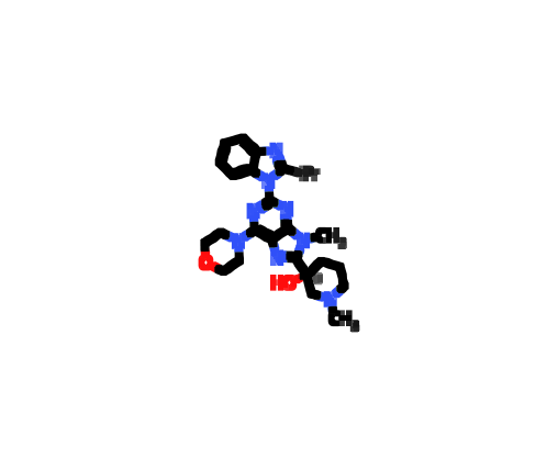 CC(C)c1nc2ccccc2n1-c1nc(N2CCOCC2)c2nc([C@]3(O)CCCN(C)C3)n(C)c2n1